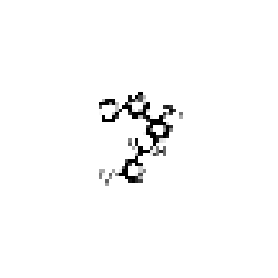 Cc1ccc(NC(=O)c2cc(C(F)(F)F)cnn2)cc1-c1cnnc(N2CCOCC2)c1